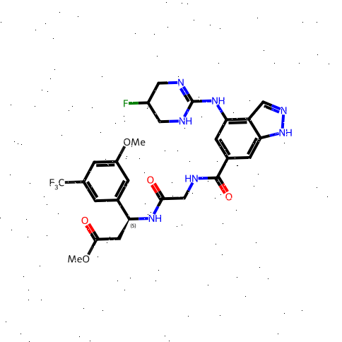 COC(=O)C[C@H](NC(=O)CNC(=O)c1cc(NC2=NCC(F)CN2)c2cn[nH]c2c1)c1cc(OC)cc(C(F)(F)F)c1